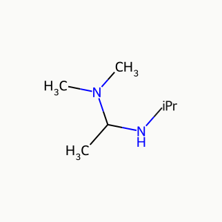 CC(C)NC(C)N(C)C